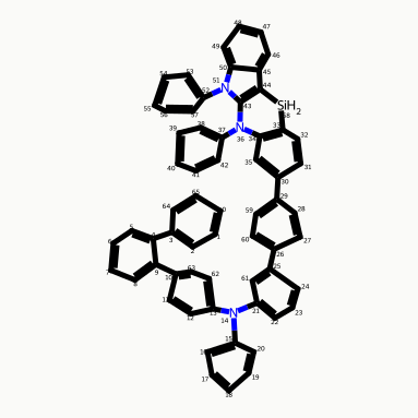 c1ccc(-c2ccccc2-c2ccc(N(c3ccccc3)c3cccc(-c4ccc(-c5ccc6c(c5)N(c5ccccc5)c5c(c7ccccc7n5-c5ccccc5)[SiH2]6)cc4)c3)cc2)cc1